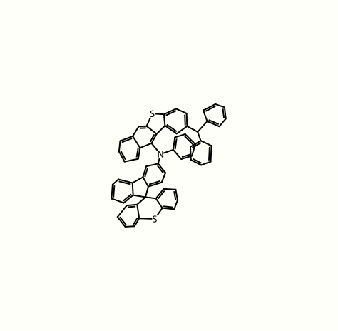 c1ccc(C(c2ccccc2)c2ccc3sc4cc5ccccc5c(N(c5ccccc5)c5ccc6c(c5)-c5ccccc5C65c6ccccc6Sc6ccccc65)c4c3c2)cc1